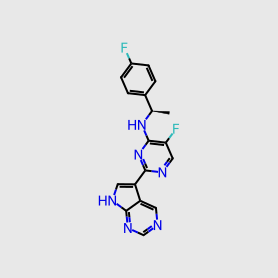 C[C@@H](Nc1nc(-c2c[nH]c3ncncc23)ncc1F)c1ccc(F)cc1